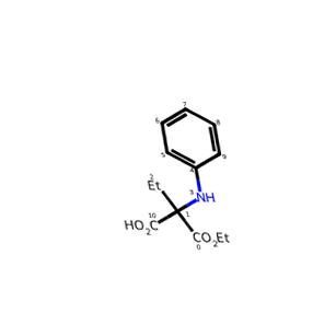 CCOC(=O)C(CC)(Nc1ccccc1)C(=O)O